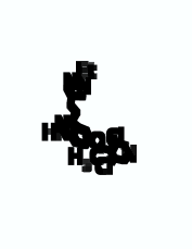 CCc1ncc(CCc2n[nH]c3ccc(OC(C)C4=C(Cl)C=NCC4Cl)cc23)cn1